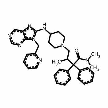 CC(CN1CCC(Nc2nc3cncnc3n2Cc2ccccn2)CC1)C(C(=O)N(C)C)(c1ccccc1)c1ccccc1